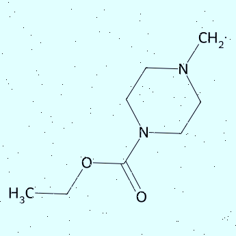 [CH2]N1CCN(C(=O)OCC)CC1